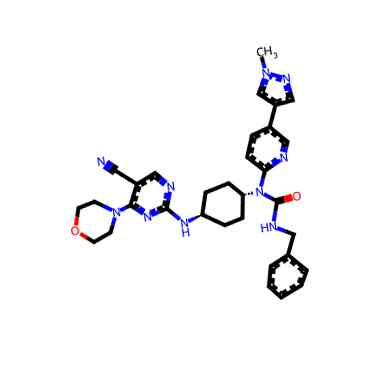 Cn1cc(-c2ccc(N(C(=O)NCc3ccccc3)[C@H]3CC[C@H](Nc4ncc(C#N)c(N5CCOCC5)n4)CC3)nc2)cn1